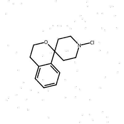 ClN1CCC2(CC1)OCCc1ccccc12